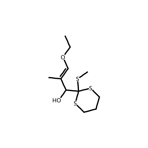 CCOC=C(C)C(O)C1(SC)SCCCS1